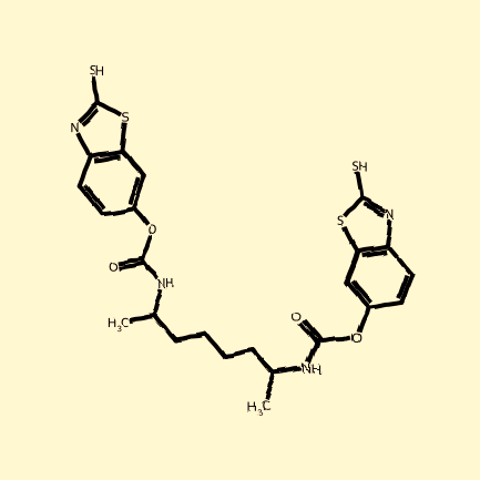 CC(CCCCC(C)NC(=O)Oc1ccc2nc(S)sc2c1)NC(=O)Oc1ccc2nc(S)sc2c1